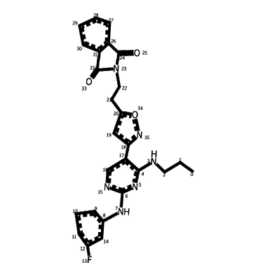 CCCNc1nc(Nc2cccc(F)c2)ncc1-c1cc(CCN2C(=O)c3ccccc3C2=O)on1